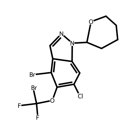 FC(F)(Br)Oc1c(Cl)cc2c(cnn2C2CCCCO2)c1Br